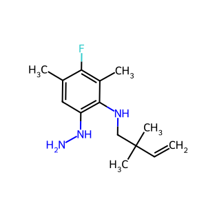 C=CC(C)(C)CNc1c(NN)cc(C)c(F)c1C